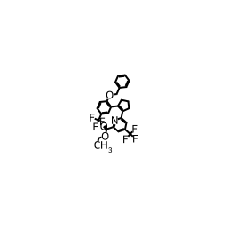 CCOC(=O)c1cc(C(F)(F)F)cc(C2=C(c3cc(C(F)(F)F)ccc3OCc3ccccc3)CCC2)n1